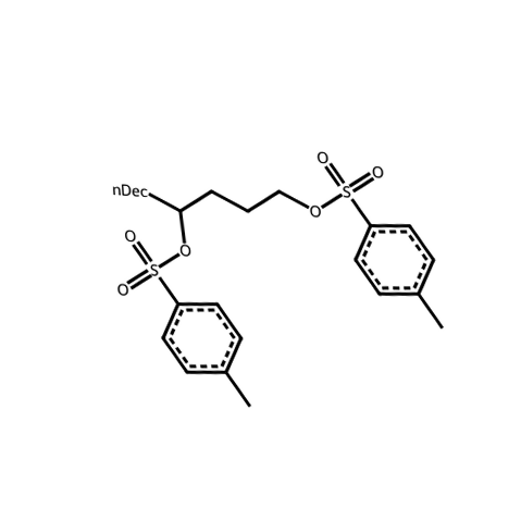 CCCCCCCCCCC(CCCOS(=O)(=O)c1ccc(C)cc1)OS(=O)(=O)c1ccc(C)cc1